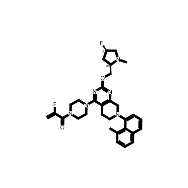 C=C(F)C(=O)N1CCN(c2nc(OC[C@H]3C[C@@H](F)CN3C)nc3c2CCN(c2cccc4cccc(C)c24)C3)CC1